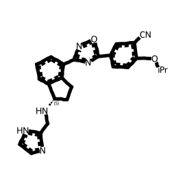 CC(C)Oc1ccc(-c2nc(-c3cccc4c3CC[C@@H]4NCc3ncc[nH]3)no2)cc1C#N